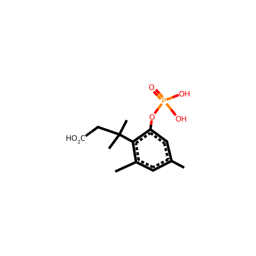 Cc1cc(C)c(C(C)(C)CC(=O)O)c(OP(=O)(O)O)c1